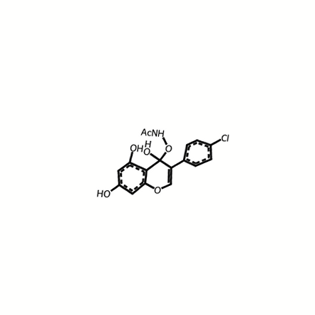 CC(=O)NOC1(O)C(c2ccc(Cl)cc2)=COc2cc(O)cc(O)c21